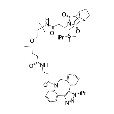 CC(C)n1nnc2c1-c1ccccc1CN(C(=O)CCNC(=O)CCC(C)(C)OCCC(C)(C)NC(=O)CCN1C(=O)C3C4CCC(C4CCCS(C)(C)C(C)C)C3C1=O)c1ccccc1-2